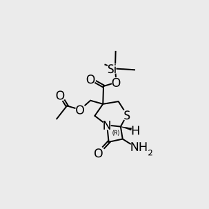 CC(=O)OCC1(C(=O)O[Si](C)(C)C)CS[C@@H]2C(N)C(=O)N2C1